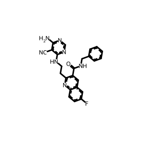 N#Cc1c(N)ncnc1NCCc1nc2ccc(F)cc2cc1C(=O)NCc1ccccc1